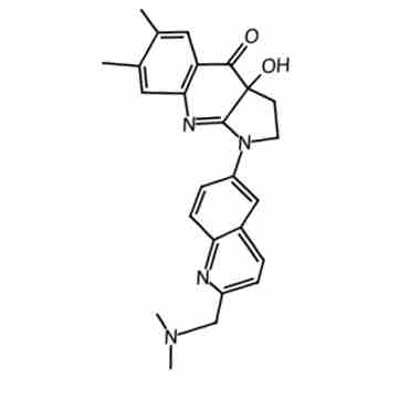 Cc1cc2c(cc1C)C(=O)C1(O)CCN(c3ccc4nc(CN(C)C)ccc4c3)C1=N2